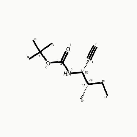 C#C[C@@H](NC(=O)OC(C)(C)C)[C@@H](C)CC